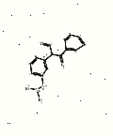 O=CC(C(=O)c1ccccc1)c1ccc[n+](NN(Br)Br)c1